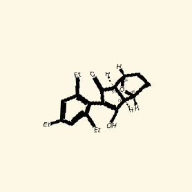 CCc1cc(CC)c(C2=C(O)[C@H]3[C@@H](C2=O)[C@@H]2CC[C@H]3O2)c(CC)c1